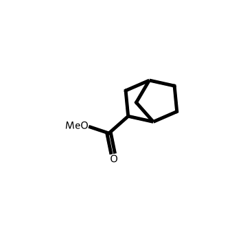 COC(=O)C1CC2CCC1C2